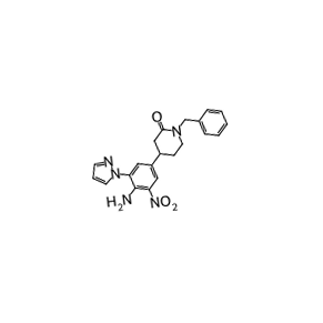 Nc1c(-n2cccn2)cc(C2CCN(Cc3ccccc3)C(=O)C2)cc1[N+](=O)[O-]